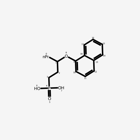 CCCC(CCP(=O)(O)O)Oc1cccc2ccccc12